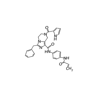 C=CC(=O)Nc1ccc(NC(=O)c2nc(Cc3ccccc3)n3c2CN(C(=O)c2ccc[nH]2)CC3)cc1